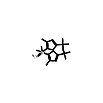 CC1=[C]([Zr]([CH3])([CH3])(=[SiH2])[C]2=C(C)C=C(C(C)(C)C)C2)CC(C(C)(C)C)=C1